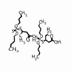 CCCCOP(=S)(OCCCC)SC(C)CC(=O)O.CCCCOP(=S)(OCCCC)SC(CC)CC(=O)O